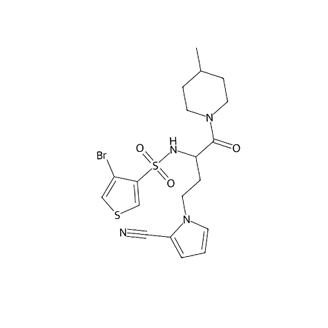 CC1CCN(C(=O)C(CCn2cccc2C#N)NS(=O)(=O)c2cscc2Br)CC1